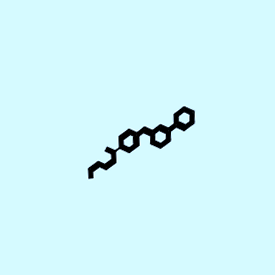 C/C=C\C=C/C(C)[C@H]1C=CC(/C=C2/C=C(C3=CCCCC3)CCC2)=CC1